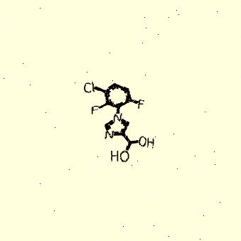 OC(O)c1cn(-c2c(F)ccc(Cl)c2F)cn1